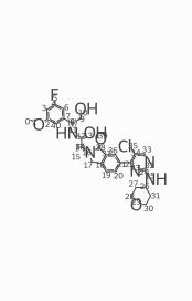 COc1cc(F)cc([C@@H](CO)NC(O)[C@@H](C)N2Cc3ccc(-c4nc(NC5CCOCC5)ncc4Cl)cc3C2=O)c1